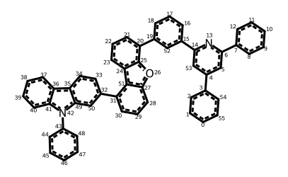 c1ccc(-c2cc(-c3ccccc3)nc(-c3cccc(-c4cccc5c4oc4cccc(-c6ccc7c8ccccc8n(-c8ccccc8)c7c6)c45)c3)c2)cc1